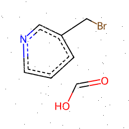 BrCc1cccnc1.O=CO